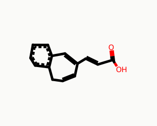 O=C(O)C=CC1=Cc2ccccc2CC=C1